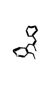 CCc1cnccc1C/C(C)=C\c1ccccc1